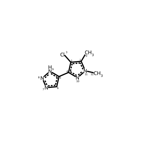 Cc1c(Cl)c(-c2cnn[nH]2)nn1C